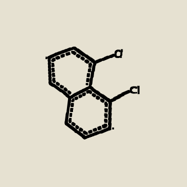 Clc1[c]ccc2c[c]cc(Cl)c12